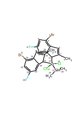 CC1=Cc2c(Br)cc(F)cc2[CH]1[Zr]([Cl])([Cl])([CH]1C(C)=Cc2c(Br)cc(F)cc21)[SiH](C)C